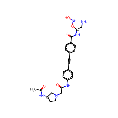 CC(=O)N[C@@H]1CCN(CC(=O)Nc2ccc(C#Cc3ccc(C(=O)N[C@H](CN)ONO)cc3)cc2)C1